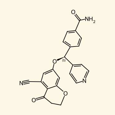 N#Cc1cc(O[C@H](c2ccncc2)c2ccc(C(N)=O)cc2)cc2c1C(=O)CCO2